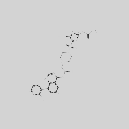 COC(=O)Nc1nc(C)c(S(=O)(=O)N2CCN(CC(C)Nc3ncnc4c(-c5cccnc5C)cccc34)CC2)s1